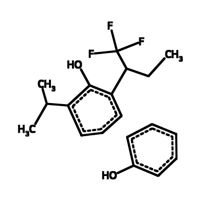 CCC(c1cccc(C(C)C)c1O)C(F)(F)F.Oc1ccccc1